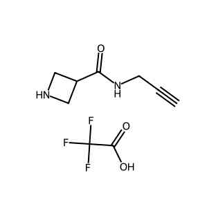 C#CCNC(=O)C1CNC1.O=C(O)C(F)(F)F